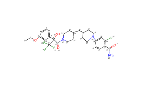 CCOc1cccc(C(O)(C(=O)N2CCC(CC3CCN(c4ccc(C(N)=O)c(Cl)c4)CC3)CC2)C(F)(F)F)c1